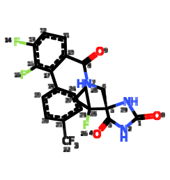 O=C1NC(=O)[C@](CNC(=O)c2ccc(F)c(F)c2-c2ccc(C(F)(F)F)cc2)(C2(F)CC2)N1